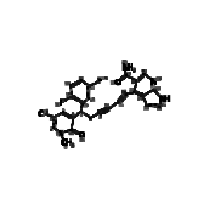 Cn1cc(Cl)cc(C(CC#CC#Cc2c(C(N)=O)cnc3[nH]ccc23)c2cc(F)ccc2F)c1=O